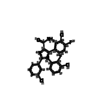 NC(=O)c1nc(-c2cccc(Cl)c2)n(-c2cccc(Cl)c2F)c1-c1ccc(F)c(Cl)c1